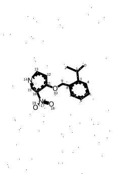 CC(C)c1ccccc1COc1ccncc1[N+](=O)[O-]